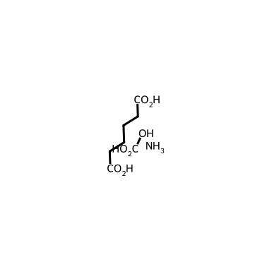 N.O=C(O)CCCCC(=O)O.O=C(O)O